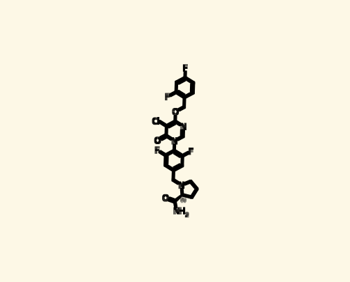 NC(=O)[C@@H]1CCCN1Cc1cc(F)c(-n2cnc(OCc3ccc(F)cc3F)c(Cl)c2=O)c(F)c1